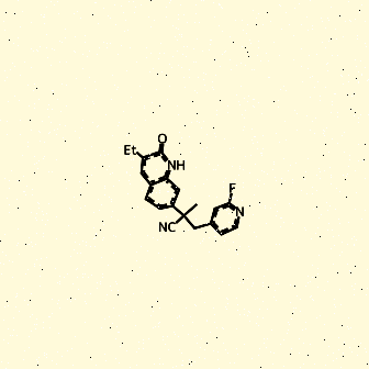 CCc1cc2ccc(C(C)(C#N)Cc3ccnc(F)c3)cc2[nH]c1=O